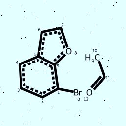 Brc1cccc2ccoc12.CC=O